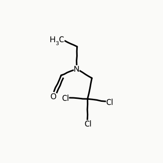 CCN(C=O)CC(Cl)(Cl)Cl